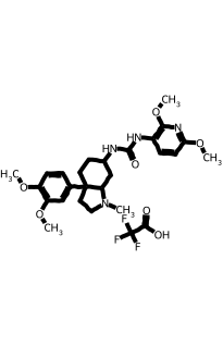 COc1ccc(NC(=O)NC2CCC3(c4ccc(OC)c(OC)c4)CCN(C)C3C2)c(OC)n1.O=C(O)C(F)(F)F